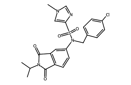 CC(C)N1C(=O)c2ccc(N(Cc3ccc(Cl)cc3)S(=O)(=O)c3cn(C)cn3)cc2C1=O